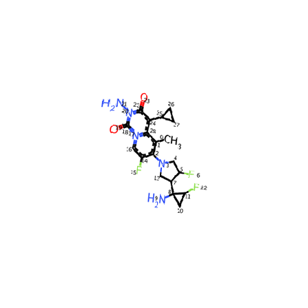 Cc1c(N2CC(F)C(C3(N)CC3F)C2)c(F)cn2c(=O)n(N)c(=O)c(C3CC3)c12